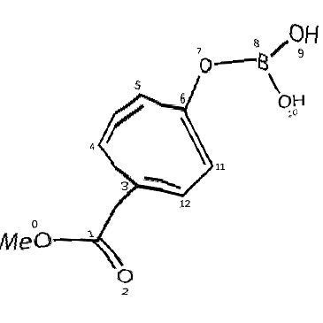 COC(=O)c1ccc(OB(O)O)cc1